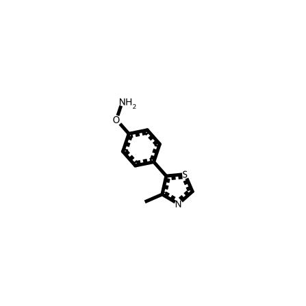 Cc1ncsc1-c1ccc(ON)cc1